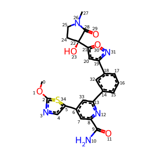 COc1ncc(-c2cc(C(N)=O)nc(-c3cccc(-c4cc([C@]5(O)CCN(C)C5=O)on4)c3)c2)s1